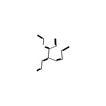 C=C\C=C/C(=C\C=C)C(/C=C)=N/C=C